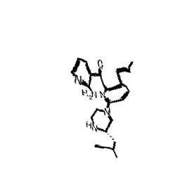 C/C=C/c1ccc(N2CCN[C@@H](CC(C)C)C2)nc1C(=O)c1cccnc1N